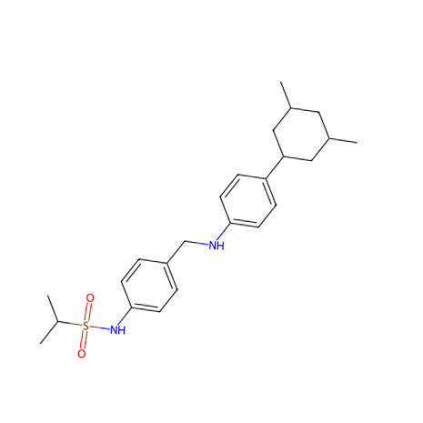 CC1CC(C)CC(c2ccc(NCc3ccc(NS(=O)(=O)C(C)C)cc3)cc2)C1